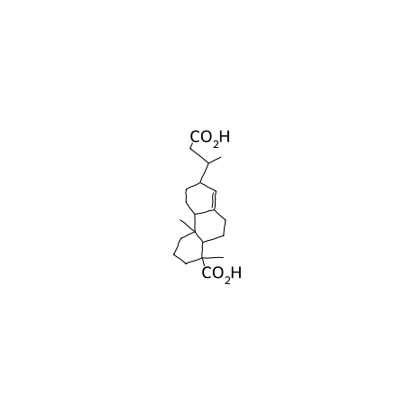 CC(CC(=O)O)C1C=C2CCC3C(C)(C(=O)O)CCCC3(C)C2CC1